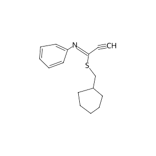 C#CC(=Nc1ccccc1)SCC1CCCCC1